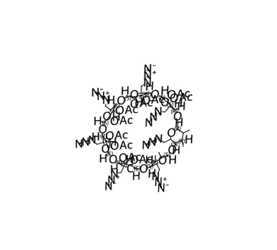 CC(=O)OC1[C@H]2OC(CN=[N+]=[N-])[C@@H](O[C@H]3OC(CN=[N+]=[N-])[C@@H](O[C@H]4OC(CN=[N+]=[N-])[C@@H](O[C@H]5CC(CN=[N+]=[N-])[C@@H](O[C@H]6OC(CN=[N+]=[N-])[C@@H](O[C@@H]7OC(CN=[N+]=[N-])[C@@H](O[C@@H]8OC(CN=[N+]=[N-])[C@@H](O2)[C@H](OC(C)=O)C8OC(C)=O)[C@H](OC(C)=O)C7OC(C)=O)[C@H](OC(C)=O)C6OC(C)=O)[C@H](OC(C)=O)C5OC(C)=O)[C@H](C)C4C)[C@H](C)C3C)[C@@H]1OC(C)=O